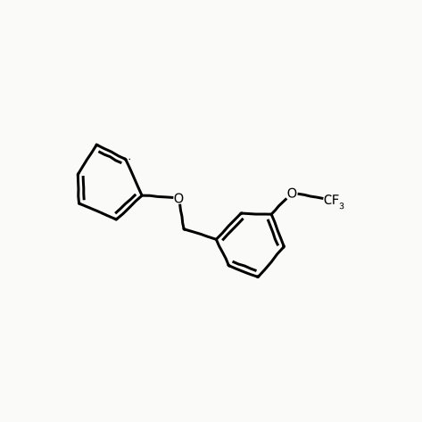 FC(F)(F)Oc1cccc(COc2[c]cccc2)c1